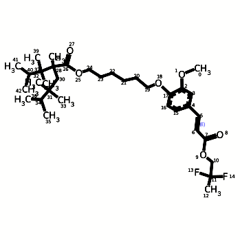 COc1cc(/C=C/C(=O)OCC(C)(F)F)ccc1OCCCCCCOC(=O)C(C)(CC(C)(C)C(C)C)C(C)(C)C(C)C